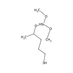 CO[SiH](OC)OC(C)CCCS